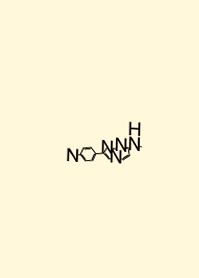 CNc1ccn2cc(-c3ccc(N(C)C)cc3)nc2n1